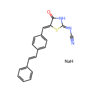 N#CN=C1NC(=O)C(=Cc2ccc(/C=C/c3ccccc3)cc2)S1.[NaH]